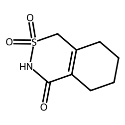 O=C1NS(=O)(=O)CC2=C1CCCC2